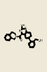 Nc1nc(C(=O)N2CCc3ccccc3C2)c2cc(-c3ccccc3CO)ccc2n1